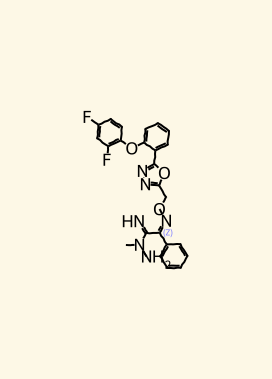 CN(N)C(=N)/C(=N\OCc1nnc(-c2ccccc2Oc2ccc(F)cc2F)o1)c1ccccc1